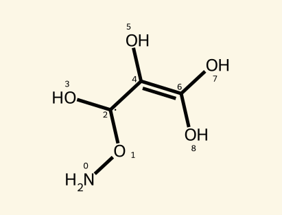 NO[C](O)C(O)=C(O)O